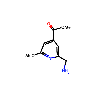 COC(=O)c1cc(CN)nc(OC)c1